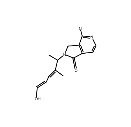 C/C(=C\C=C\O)C(C)N1Cc2c(ccnc2Cl)C1=O